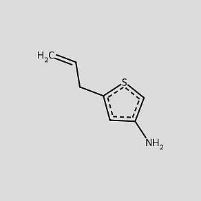 C=CCc1cc(N)cs1